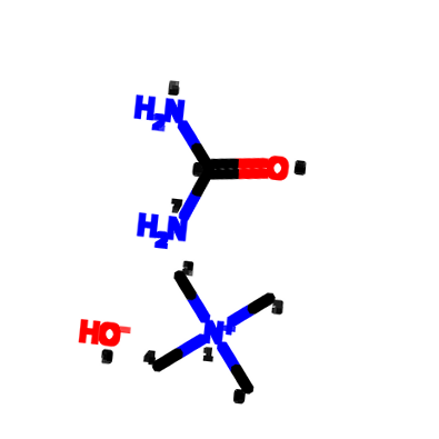 C[N+](C)(C)C.NC(N)=O.[OH-]